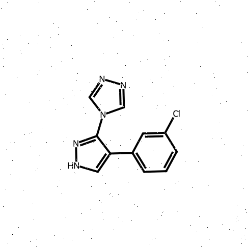 Clc1cccc(-c2c[nH]nc2-n2cnnc2)c1